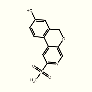 CS(=O)(=O)c1cc2c(cn1)OCc1cc(O)ccc1-2